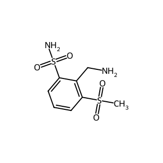 CS(=O)(=O)c1cccc(S(N)(=O)=O)c1CN